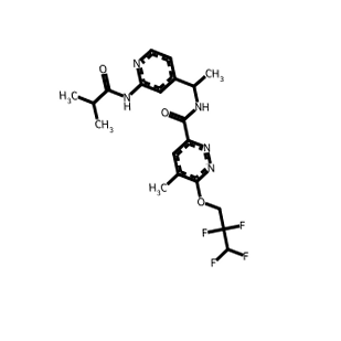 Cc1cc(C(=O)NC(C)c2ccnc(NC(=O)C(C)C)c2)nnc1OCC(F)(F)C(F)F